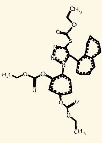 CCOC(=O)Oc1ccc(-n2nnc(SC(=O)OCC)c2-c2cccc3ccccc23)c(OC(=O)OCC)c1